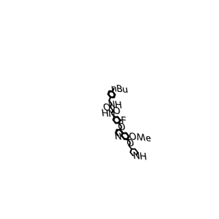 CCCCc1ccc(CNC(=O)C(=O)Nc2ccc(Oc3ccnc4cc(OCC5CCNCC5)c(OC)cc34)c(F)c2)cc1